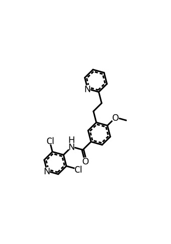 COc1ccc(C(=O)Nc2c(Cl)cncc2Cl)cc1CCc1ccccn1